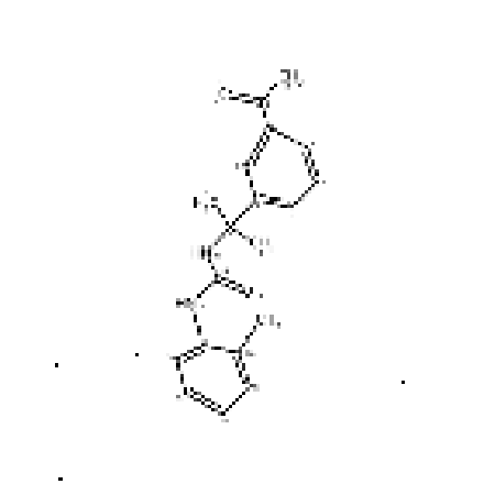 C=C(C)c1cccc(C(C)(C)NC(=O)Nc2ccccc2C)c1